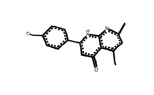 Cc1cc(C)c2c(=O)cc(-c3ccc(Cl)cc3)[nH]c2n1